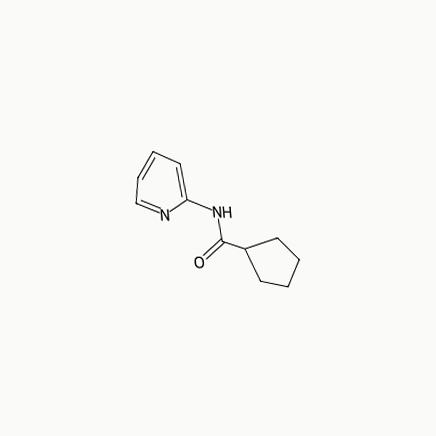 O=C(Nc1ccccn1)C1CCCC1